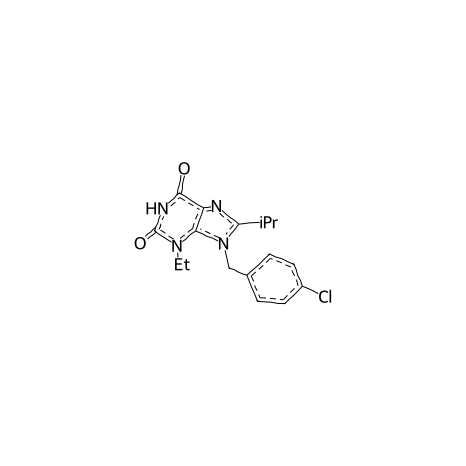 CCn1c(=O)[nH]c(=O)c2nc(C(C)C)n(Cc3ccc(Cl)cc3)c21